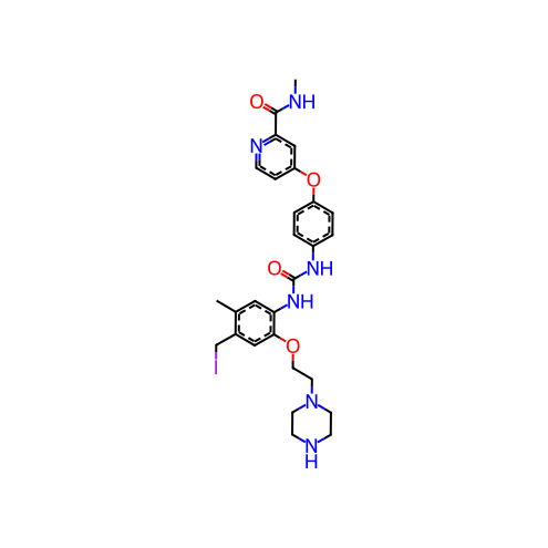 CNC(=O)c1cc(Oc2ccc(NC(=O)Nc3cc(C)c(CI)cc3OCCN3CCNCC3)cc2)ccn1